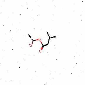 CC(C)CC(=O)OC(C)Br